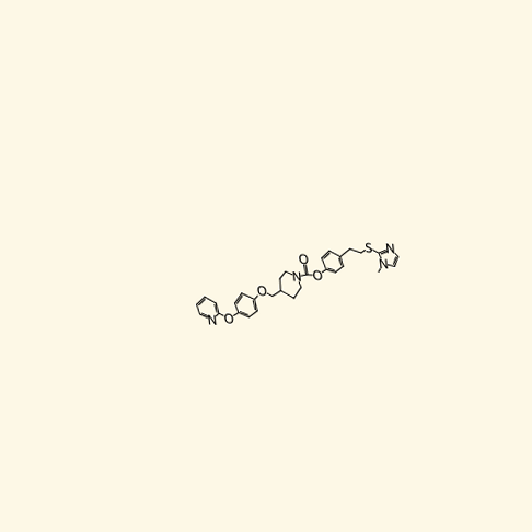 Cn1ccnc1SCCc1ccc(OC(=O)N2CCC(COc3ccc(Oc4ccccn4)cc3)CC2)cc1